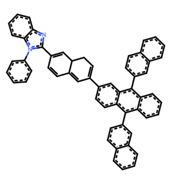 C1=CC2=CC(c3ccc4c(-c5ccc6ccccc6c5)c5ccccc5c(-c5ccc6ccccc6c5)c4c3)=CCC2C=C1c1nc2ccccc2n1-c1ccccc1